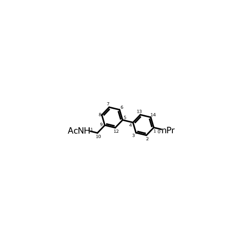 CCCc1ccc(-c2cccc(CNC(C)=O)c2)cc1